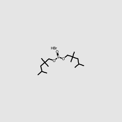 Br.CC(C)CC(C)(C)C[O][V](=[O])[O]CC(C)(C)CC(C)C